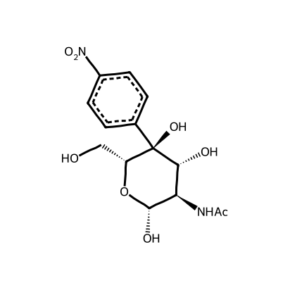 CC(=O)N[C@H]1[C@H](O)O[C@H](CO)[C@](O)(c2ccc([N+](=O)[O-])cc2)[C@@H]1O